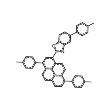 Cc1ccc(-c2ccc3oc(-c4cc(-c5ccc(C)cc5)c5ccc6ccc(-c7ccc(C)cc7)c7ccc4c5c67)nc3c2)cc1